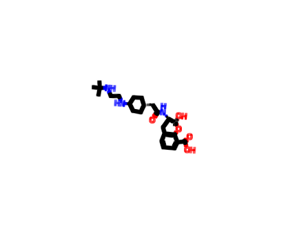 CC(C)(C)NCCN[C@H]1CC[C@H](CC(=O)N[C@H]2Cc3cccc(C(=O)O)c3OB2O)CC1